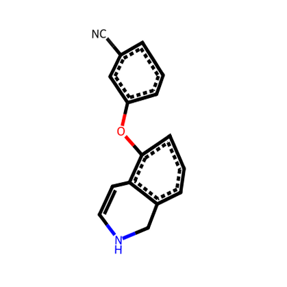 N#Cc1cccc(Oc2cccc3c2C=CNC3)c1